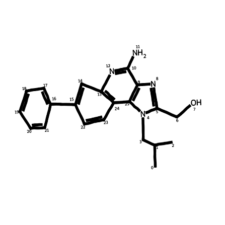 CC(C)Cn1c(CO)nc2c(N)nc3cc(-c4ccccc4)ccc3c21